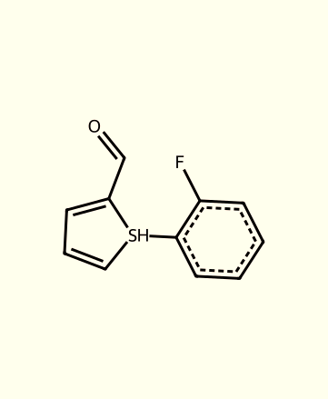 O=CC1=CC=C[SH]1c1ccccc1F